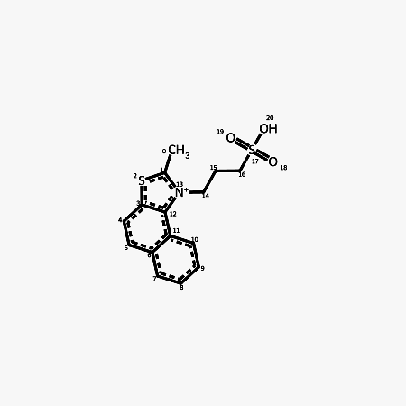 Cc1sc2ccc3ccccc3c2[n+]1CCCS(=O)(=O)O